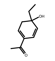 CCC1(O)C=CC(C(C)=O)=CC1